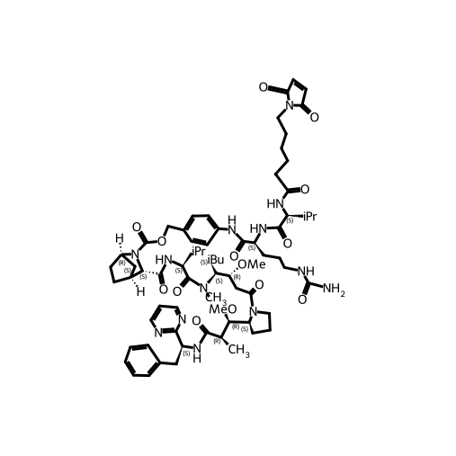 CC[C@H](C)[C@@H]([C@@H](CC(=O)N1CCC[C@H]1[C@H](OC)[C@@H](C)C(=O)N[C@@H](Cc1ccccc1)c1ncccn1)OC)N(C)C(=O)[C@@H](NC(=O)[C@@H]1[C@H]2CC[C@H](C2)N1C(=O)OCc1ccc(NC(=O)[C@H](CCCNC(N)=O)NC(=O)[C@@H](NC(=O)CCCCCN2C(=O)C=CC2=O)C(C)C)cc1)C(C)C